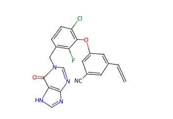 C=Cc1cc(C#N)cc(Oc2c(Cl)ccc(Cn3cnc4nc[nH]c4c3=O)c2F)c1